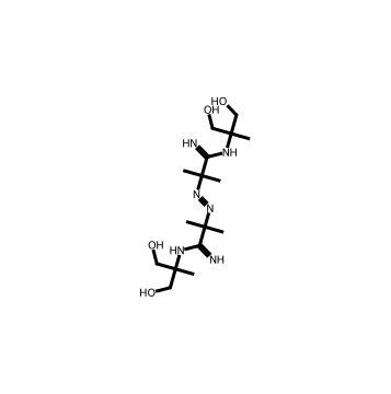 CC(CO)(CO)NC(=N)C(C)(C)N=NC(C)(C)C(=N)NC(C)(CO)CO